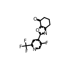 O=C1CCCc2nc(-c3cc(C(F)(F)F)ncc3F)oc21